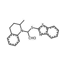 CC1CCc2ccccc2N1C(C=O)Sc1nc2ccccc2s1